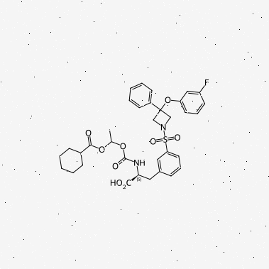 CC(OC(=O)N[C@@H](Cc1cccc(S(=O)(=O)N2CC(Oc3cccc(F)c3)(c3ccccc3)C2)c1)C(=O)O)OC(=O)C1CCCCC1